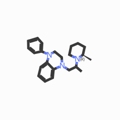 CC(CN1CCN(c2ccccc2)c2ccccc21)N1CCCC[C@H]1C